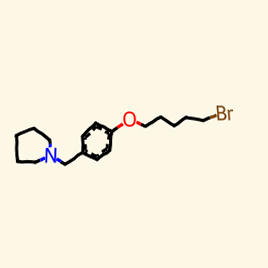 BrCCCCCOc1ccc(CN2CCCCC2)cc1